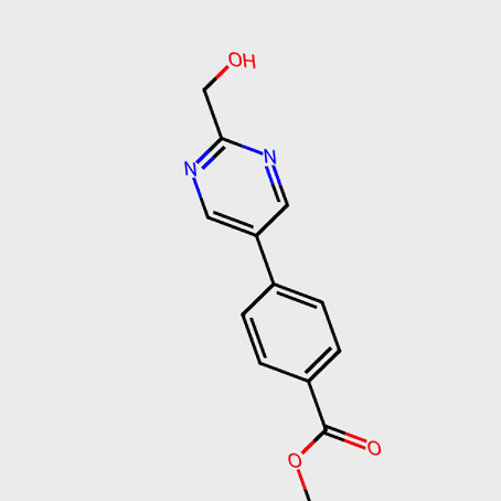 COC(=O)c1ccc(-c2cnc(CO)nc2)cc1